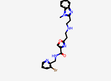 Cn1c(CCNCCc2nc(C(=O)NCc3ncccc3Br)co2)nc2ccccc21